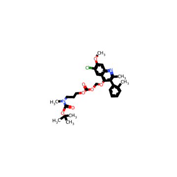 COc1cc2nc(C)c(-c3ccccc3C)c(OCOC(=O)OCCCN(C)C(=O)OC(C)(C)C)c2cc1Cl